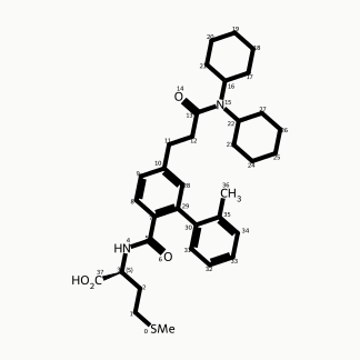 CSCC[C@H](NC(=O)c1ccc(CCC(=O)N(C2CCCCC2)C2CCCCC2)cc1-c1ccccc1C)C(=O)O